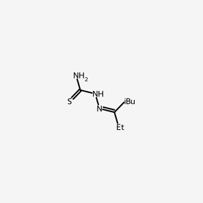 CCC(=NNC(N)=S)C(C)CC